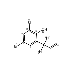 [2H]C([2H])(C=C)c1cc(Br)cc(Cl)c1O